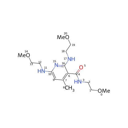 COCCNC(=O)c1c(C)cc(NCCOC)nc1NCCOC